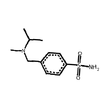 CC(C)N(C)Cc1ccc(S(N)(=O)=O)cc1